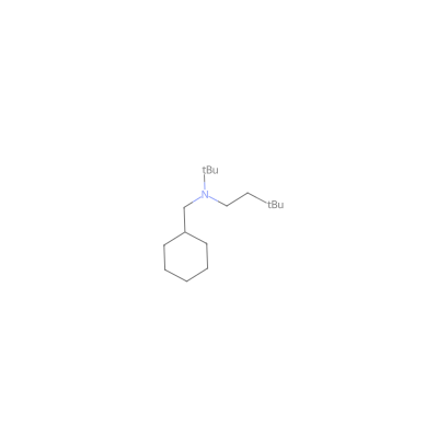 CC(C)(C)CCN(CC1CCCCC1)C(C)(C)C